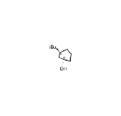 CCC(C)[C@H]1CCC[C@H](O)C1